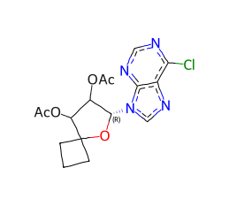 CC(=O)OC1C(OC(C)=O)C2(CCC2)O[C@H]1n1cnc2c(Cl)ncnc21